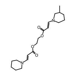 CC1CCCN(/C=C/C(=O)OCCOC(=O)/C=C/N2CCCCC2)C1